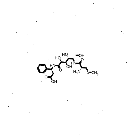 CSC[C@H](N)C(=O)N[C@@H](CO)[C@@H](O)[C@@H](O)[C@H](O)C(=O)N[C@@H](CC(=O)O)c1ccccc1